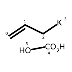 C=C[CH2][K].O=C(O)O